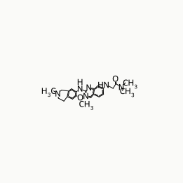 COc1cc2c(cc1Nc1ncc3ccc(NCC(=O)N(C)C)cc3n1)CN(C)CC2